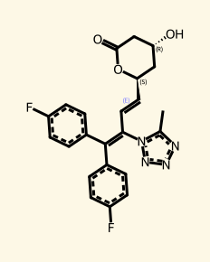 Cc1nnnn1C(/C=C/[C@@H]1C[C@@H](O)CC(=O)O1)=C(c1ccc(F)cc1)c1ccc(F)cc1